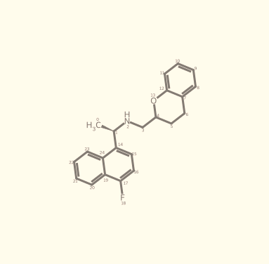 C[C@@H](NCC1CCc2ccccc2O1)c1ccc(F)c2ccccc12